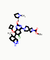 Cc1ccc2[nH]ncc2c1-c1c(Cl)cc2c(N3CCC4(CC3)CN(C(=O)OC(C)(C)C)C4)nc(OC[C@@H]3CCCN3C)nc2c1OC1CCC1